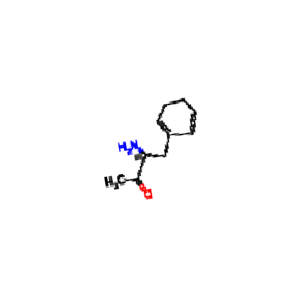 CC(=O)[C@@H](N)CC1=CCCC=C1